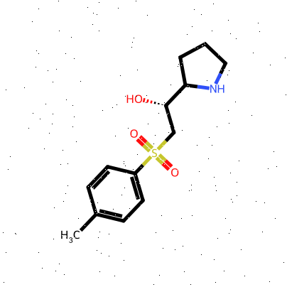 Cc1ccc(S(=O)(=O)C[C@H](O)C2CCCN2)cc1